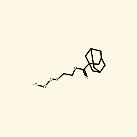 O=C(OCCSOOO)C12CC3CC(CC(C3)C1)C2